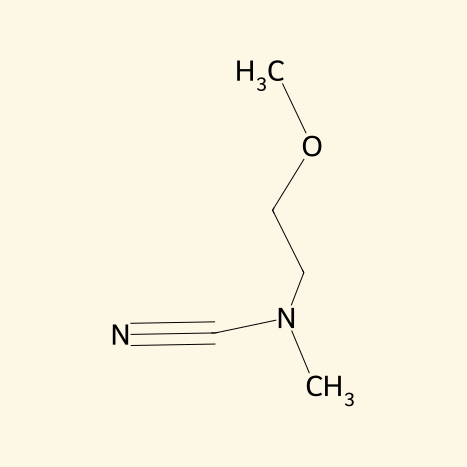 COCCN(C)C#N